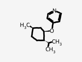 CC(C)[C@@H]1CC[C@@H](C)C[C@H]1Oc1ccncc1